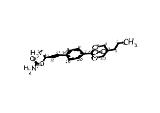 CCCC12COC(c3ccc(C#CC(C)OC(N)=O)cc3)(OC1)OC2